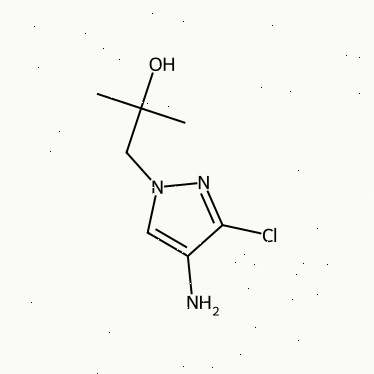 CC(C)(O)Cn1cc(N)c(Cl)n1